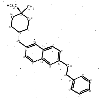 C[C@]1(C(=O)O)OC[C@H](Cc2ccc3cc(OCc4ccccc4)ccc3c2)CO1